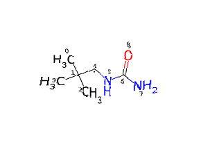 CC(C)(C)[CH]NC(N)=O